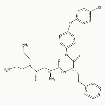 NCCN(CCN)C(=O)C[C@H](N)C(=O)N[C@@H](CCc1ccccc1)C(=O)Nc1ccc(Oc2ccc(Cl)cc2)cc1